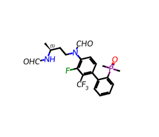 C[C@@H](CCN(C=O)c1ccc(-c2ccccc2P(C)(C)=O)c(C(F)(F)F)c1F)NC=O